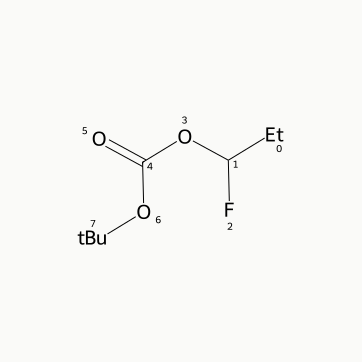 [CH2]CC(F)OC(=O)OC(C)(C)C